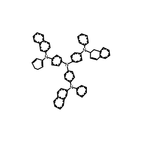 C1=CC(N(c2ccc(N(c3ccc(N(c4ccccc4)c4ccc5ccccc5c4)cc3)c3ccc(N(c4ccccc4)C4C=Cc5ccccc5C4)cc3)cc2)c2ccc3ccccc3c2)=CCC1